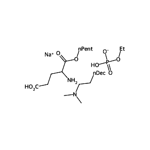 CCCCCCCCCCCCN(C)C.CCCCCOC(=O)C(N)CCC(=O)O.CCOP(=O)([O-])O.[Na+]